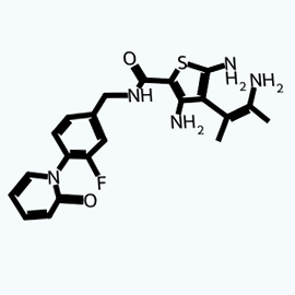 C/C(N)=C(\C)c1c(N)sc(C(=O)NCc2ccc(-n3ccccc3=O)c(F)c2)c1N